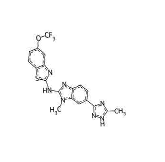 Cc1nc(-c2ccc3nc(Nc4nc5cc(OC(F)(F)F)ccc5s4)n(C)c3c2)n[nH]1